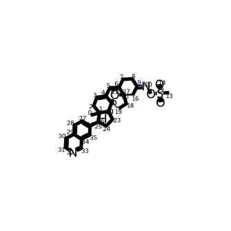 CC12CC=C3C=C4CC/C(=N/OS(C)(=O)=O)C[C@]45CC[C@]3(O5)[C@@H]1CCC2c1ccc2ccncc2c1